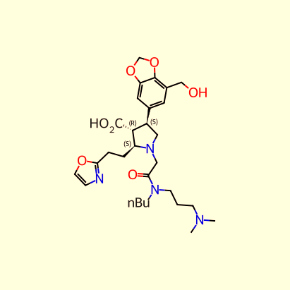 CCCCN(CCCN(C)C)C(=O)CN1C[C@H](c2cc(CO)c3c(c2)OCO3)[C@@H](C(=O)O)[C@@H]1CCc1ncco1